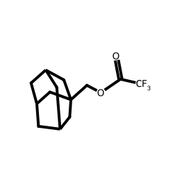 O=C(OCC12CC3CC(CC(C3)C1)C2)C(F)(F)F